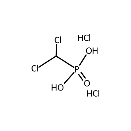 Cl.Cl.O=P(O)(O)C(Cl)Cl